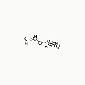 CC(C)(C)OC(=O)NCc1cccc(-c2cncc(OC[C@@H]3CCN3)c2)c1